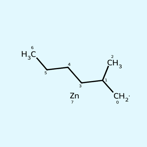 [CH2]C(C)CCCC.[Zn]